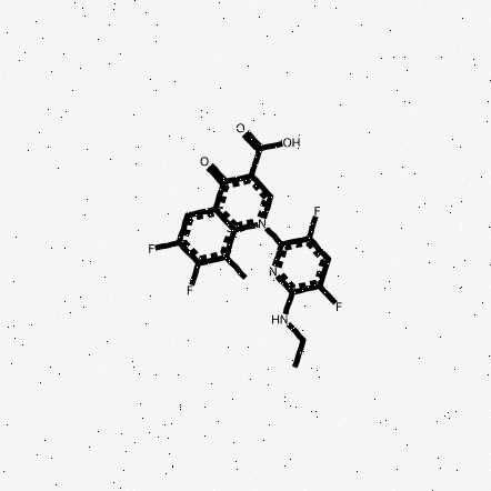 CCNc1nc(-n2cc(C(=O)O)c(=O)c3cc(F)c(F)c(C)c32)c(F)cc1F